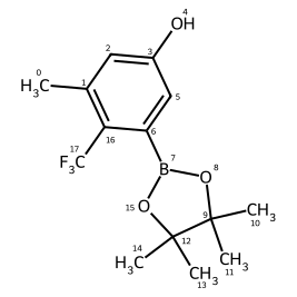 Cc1cc(O)cc(B2OC(C)(C)C(C)(C)O2)c1C(F)(F)F